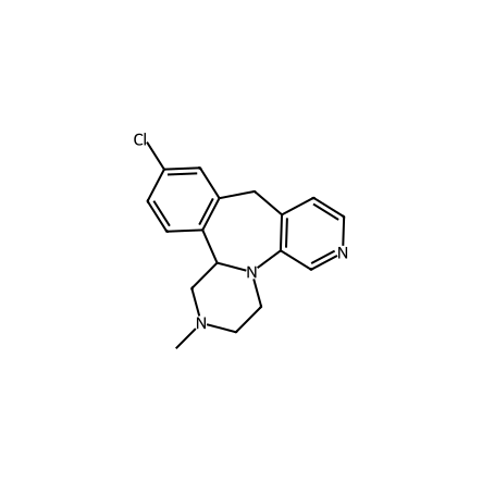 CN1CCN2c3cnccc3Cc3cc(Cl)ccc3C2C1